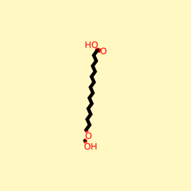 O=C(O)CCCCCCCCCCCCCCCOCO